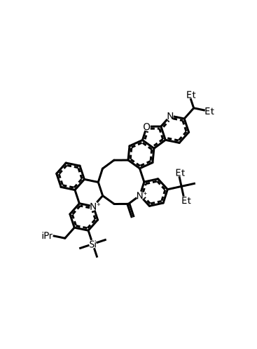 C=C1CC2C(CCc3cc4oc5nc(C(CC)CC)ccc5c4cc3-c3cc(C(C)(CC)CC)cc[n+]31)c1ccccc1-c1cc(CC(C)C)c([Si](C)(C)C)c[n+]12